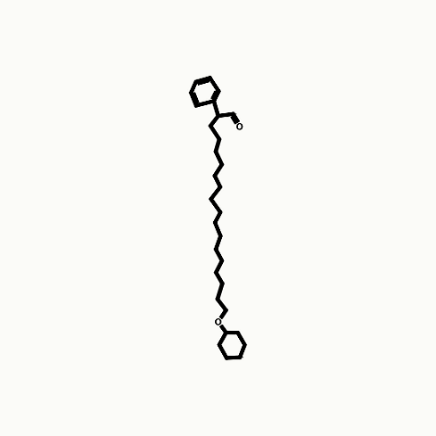 O=[C]C(CCCCCCCCCCCCCCCCOC1CC[CH]CC1)c1ccccc1